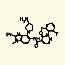 CC(C)c1nc2c(N3CC[C@H](N)C3)c(NC(=O)c3ccnn(-c4c(F)cccc4F)c3=O)ccc2n1C